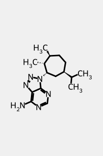 CC(C)[C@@H]1CC[C@H](C)[C@@H](C)[C@@H](n2nnc3c(N)ncnc32)C1